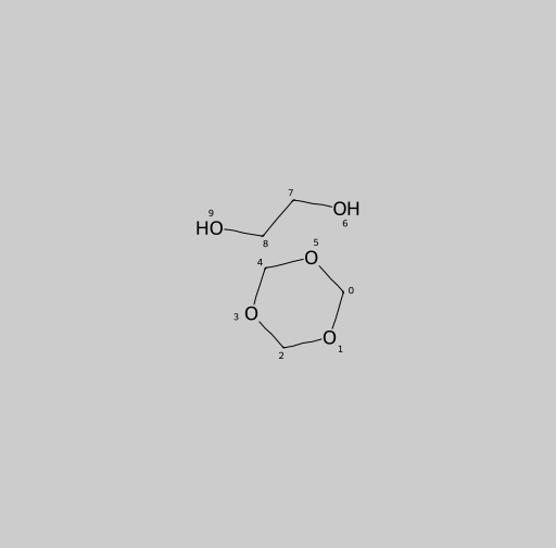 C1OCOCO1.OCCO